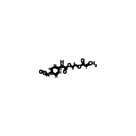 C=CC(=O)OCCOC(=O)Nc1ccc(N=C=O)cc1